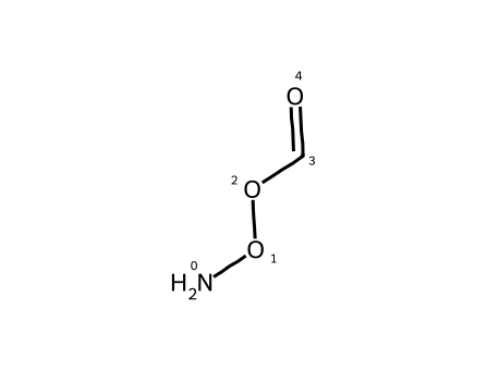 NOOC=O